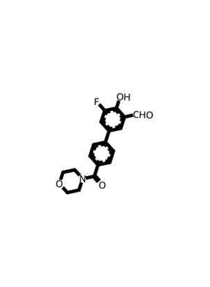 O=Cc1cc(-c2ccc(C(=O)N3CCOCC3)cc2)cc(F)c1O